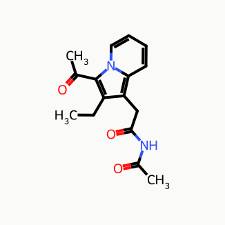 CCc1c(CC(=O)NC(C)=O)c2ccccn2c1C(C)=O